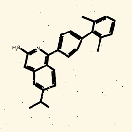 Bc1cc2cc(C(C)C)ccc2c(-c2ccc(-c3c(C)cccc3C)cc2)n1